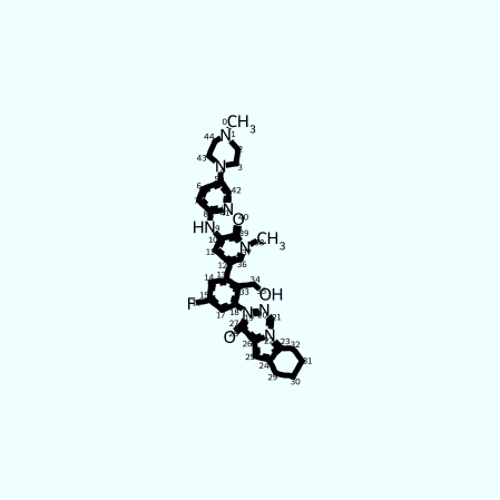 CN1CCN(c2ccc(Nc3cc(-c4cc(F)cc(-n5ncn6c7c(cc6c5=O)CCCC7)c4CO)cn(C)c3=O)nc2)CC1